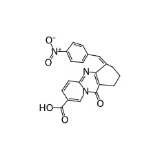 O=C(O)c1ccc2nc3c(c(=O)n2c1)CCC/C3=C/c1ccc([N+](=O)[O-])cc1